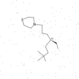 CC[C@H](CCCN1CCSCC1)CCC(C)(C)C